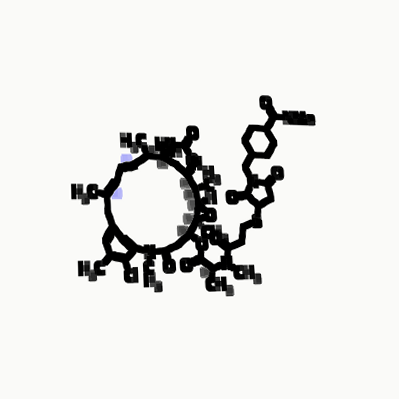 CNC(=O)C1CCC(CN2C(=O)CC(SCCC(=O)N(C)[C@@H](C)C(=O)O[C@H]3CC(=O)N(C)c4cc(cc(C)c4Cl)C/C(C)=C/C=C/[C@@H](C)[C@@]4(O)C[C@H](OC(=O)N4)[C@@H](C)[C@@H]4O[C@@]34C)C2=O)CC1